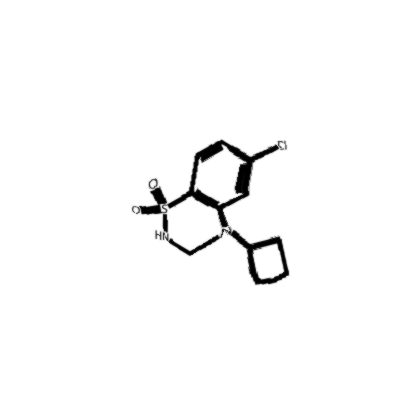 O=S1(=O)NCN(C2CCC2)c2cc(Cl)ccc21